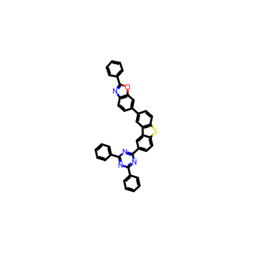 c1ccc(-c2nc(-c3ccccc3)nc(-c3ccc4sc5ccc(-c6ccc7nc(-c8ccccc8)oc7c6)cc5c4c3)n2)cc1